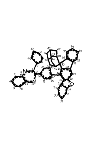 c1ccc(-c2nc3ccccc3nc2-c2ccc(-c3c4c(cc5oc6ccccc6c35)-c3ccccc3C43C4CC5CC(C4)CC3C5)cc2)cc1